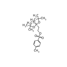 Cc1ccc(S(=O)(=O)OCCP(=O)(OC(C)(C)C)OC(C)(C)C)cc1